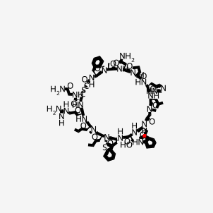 CCCC[C@H]1C(=O)N(C)[C@@H](CCCC)C(=O)N[C@@H](CCCNC(=N)N)C(=O)N[C@H](C(=O)NCC(N)=O)CSCC(=O)N[C@@H](Cc2ccccc2)C(=O)N(C)[C@@H](C)C(=O)N[C@@H](CC(N)=O)C(=O)N2CCC[C@H]2C(=O)N[C@@H](Cc2cnc[nH]2)C(=O)N[C@@H](CC(C)C)C(=O)N(C)CC(=O)N[C@@H](Cc2c[nH]c3ccccc23)C(=O)N[C@@H](CO)C(=O)N[C@@H](Cc2csc3ccccc23)C(=O)N1C